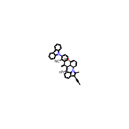 C=C(/C(=C\CCC)C1C(C#N)=CC=CC1n1c(C)c(C#CC)c2ccccc21)c1cccc(-n2c3ccccc3c3ccccc32)c1C#N